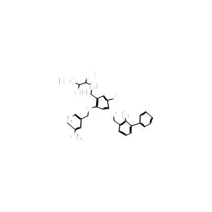 CC(O)C(C)NCc1cc(Cl)c(OCc2cccc(-c3ccccc3)c2Br)cc1OCc1cncc(C#N)c1